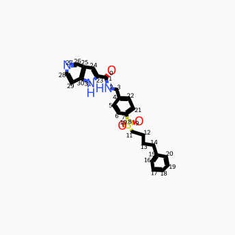 O=C(NCc1ccc(S(=O)(=O)CCCCc2ccccc2)cc1)c1cc2cnccc2[nH]1